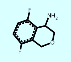 NC1COCc2c(F)ccc(F)c21